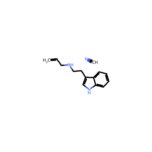 C#N.C=CCNCCc1c[nH]c2ccccc12